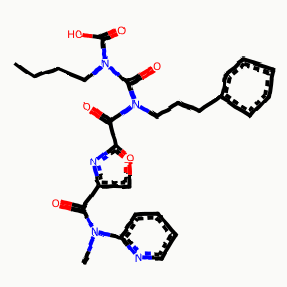 CCCCN(C(=O)O)C(=O)N(CCCc1ccccc1)C(=O)c1nc(C(=O)N(C)c2ccccn2)co1